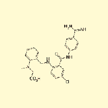 CN(CC(=O)O)c1ccccc1CNc1ccc(Cl)cc1C(=O)Nc1ccc(C(=N)N)cc1